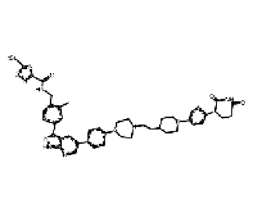 Cc1cc(-c2n[nH]c3ncc(-c4ccc(N5CCN(CCC6CCN(c7ccc([C@@H]8CCC(=O)NC8=O)cc7)CC6)CC5)cc4)cc23)ccc1CNC(=O)c1noc(C(C)(C)C)n1